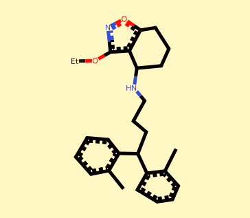 CCOc1noc2c1C(NCCCC(c1ccccc1C)c1ccccc1C)CCC2